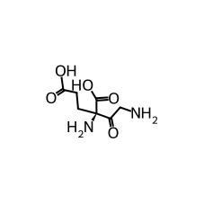 NCC(=O)[C@](N)(CCC(=O)O)C(=O)O